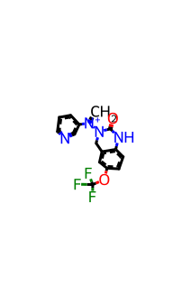 C=[N+](c1cccnc1)N1Cc2cc(OC(F)(F)F)ccc2NC1=O